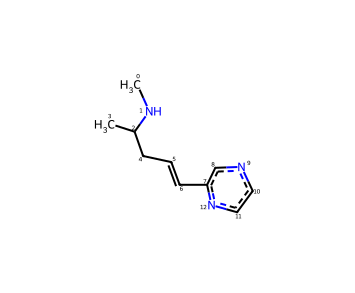 CNC(C)CC=Cc1cnccn1